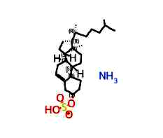 CC(C)CCC[C@@H](C)[C@H]1CC[C@H]2[C@@H]3CC=C4C[C@@H](OS(=O)(=O)O)CC[C@]4(C)[C@H]3CC[C@]12C.N